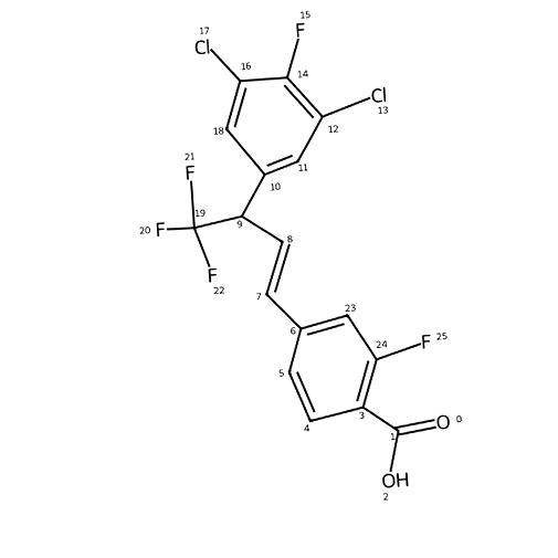 O=C(O)c1ccc(C=CC(c2cc(Cl)c(F)c(Cl)c2)C(F)(F)F)cc1F